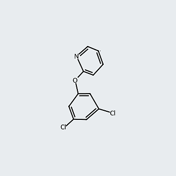 Clc1cc(Cl)cc(Oc2cc[c]cn2)c1